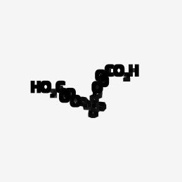 O=C(O)/C=C/C(=O)OCCOc1ccc2cc(C3(c4ccc5cc(OCCOC(=O)/C=C/C(=O)O)ccc5c4)c4ccccc4-c4ccccc43)ccc2c1